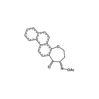 CC(=O)O/N=C1\CCOc2c(ccc3c2ccc2ccccc23)C1=O